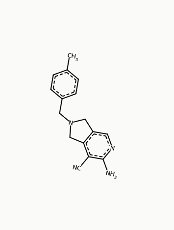 Cc1ccc(CN2Cc3cnc(N)c(C#N)c3C2)cc1